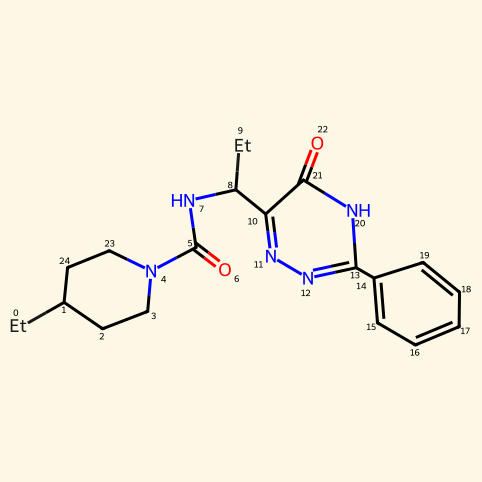 CCC1CCN(C(=O)NC(CC)c2nnc(-c3ccccc3)[nH]c2=O)CC1